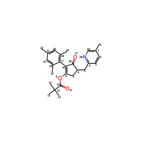 Cc1ccc(CC2CC(OC(=O)C(C)(C)C)=C(c3c(C)cc(C)cc3C)C2=O)nc1